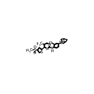 CS(=O)(=O)c1csc(-c2nc(Nc3ccc(N4CC5CC(C4)N5)cc3Cl)ncc2C(F)(F)F)c1